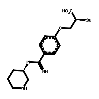 CC(C)(C)[C@@H](COc1ccc(C(=N)N[C@@H]2CCCNC2)cc1)C(=O)O